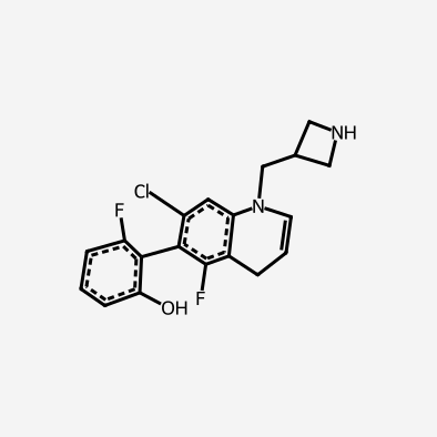 Oc1cccc(F)c1-c1c(Cl)cc2c(c1F)CC=CN2CC1CNC1